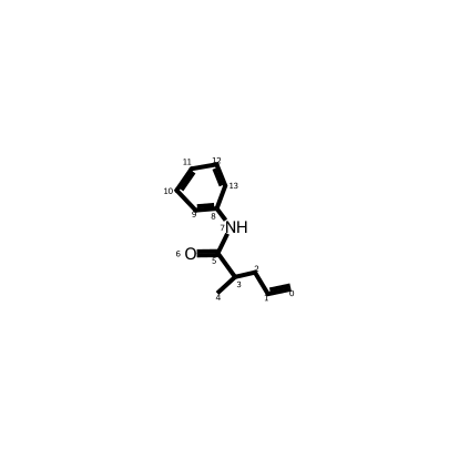 C=CCC(C)C(=O)Nc1ccccc1